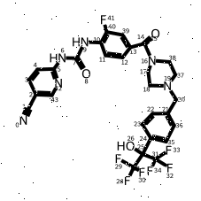 N#Cc1ccc(NC(=O)Nc2ccc(C(=O)N3CCN(Cc4ccc(C(O)(C(F)(F)F)C(F)(F)F)cc4)CC3)cc2F)nc1